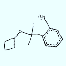 CC(C)(OC1CCC1)c1ccccc1N